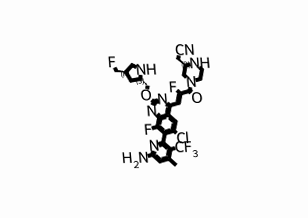 Cc1cc(N)nc(-c2c(Cl)cc3c(C=C(F)C(=O)N4CCN[C@H](CC#N)C4)nc(OC[C@@H]4C[C@@H](CF)CN4)nc3c2F)c1C(F)(F)F